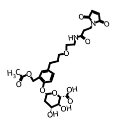 CC(=O)OCc1cc(CCCOCCNC(=O)CCN2C(=O)C=CC2=O)ccc1O[C@H]1C[C@@H](O)[C@H](O)[C@@H](C(=O)O)O1